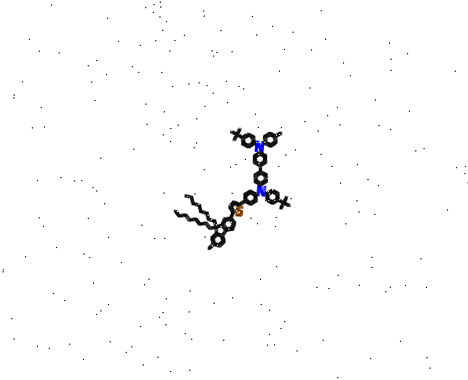 CCCCCCCCC1(CCCCCCCC)c2cc(C)ccc2-c2ccc(-c3ccc(-c4ccc(N(c5ccc(-c6ccc(N(c7ccc(C)cc7)c7ccc(C(C)(C)C)cc7)cc6)cc5)c5ccc(C(C)(C)C)cc5)cc4)s3)cc21